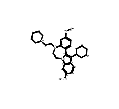 CC(C)Oc1ccc2c(c1)N(CCN1CCCCC1)CCn1c-2c(C2CCCCC2)c2ccc(C(=O)O)cc21